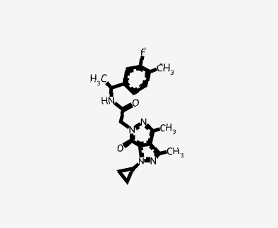 Cc1ccc(C(C)NC(=O)Cn2nc(C)c3c(C)nn(C4CC4)c3c2=O)cc1F